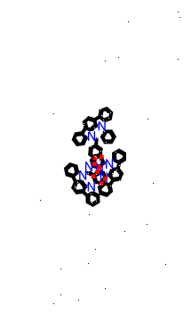 c1ccc(-n2c3ccccc3c3ccc4c5ccccc5n(Cc5ccc(-c6nc(-n7c8ccccc8c8ccc9c%10ccccc%10n(-c%10ccccc%10)c9c87)cc(-n7c8ccccc8c8ccc9c%10ccccc%10n(-c%10ccccc%10)c9c87)n6)cc5)c4c32)cc1